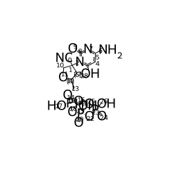 N#CC1(n2ccc(N)nc2=O)CO[C@H](COP(=O)(O)OP(=O)(O)OP(=O)(O)O)[C@H]1O